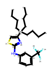 CCC[CH2][Sn]([CH2]CCC)([CH2]CCC)[c]1csc(Nc2cccc(C(F)(F)F)c2)n1